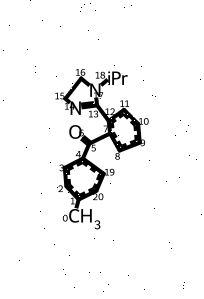 Cc1ccc(C(=O)c2ccccc2C2=NCCN2C(C)C)cc1